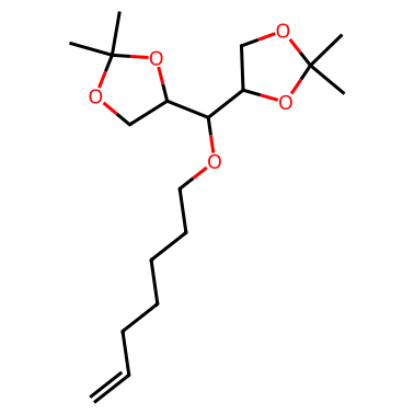 C=CCCCCCOC(C1COC(C)(C)O1)C1COC(C)(C)O1